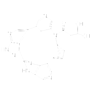 CC(C)CC(=O)n1c2cncc(c2)c2cnc3[nH]nc(c4nc5c(cncc5c5ccc1s5)[nH]4)c3c2